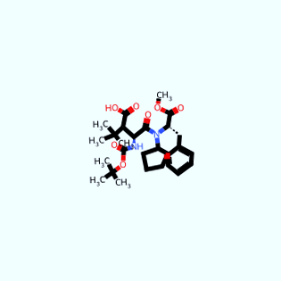 COC(=O)[C@H](Cc1ccccc1)N(C(=O)[C@@H](NC(=O)OC(C)(C)C)C(C(=O)O)C(C)(C)C)C1CCCC1